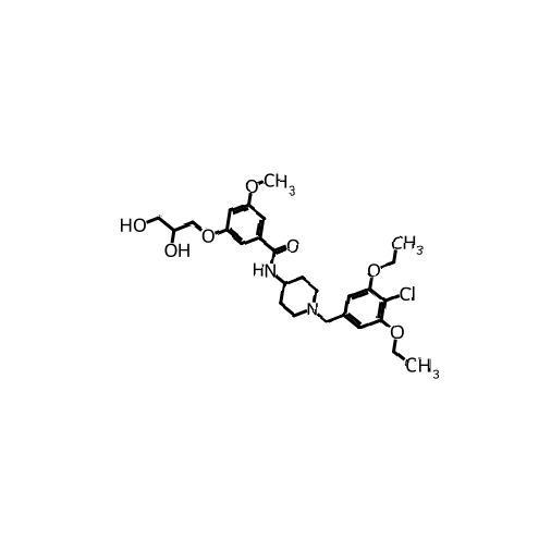 CCOc1cc(CN2CCC(NC(=O)c3cc(OC)cc(OCC(O)CO)c3)CC2)cc(OCC)c1Cl